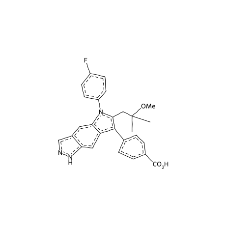 COC(C)(C)Cc1c(-c2ccc(C(=O)O)cc2)c2cc3[nH]ncc3cc2n1-c1ccc(F)cc1